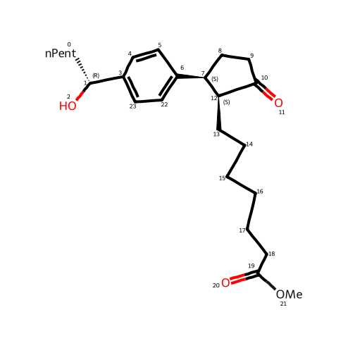 CCCCC[C@@H](O)c1ccc([C@H]2CCC(=O)[C@H]2CCCCCCC(=O)OC)cc1